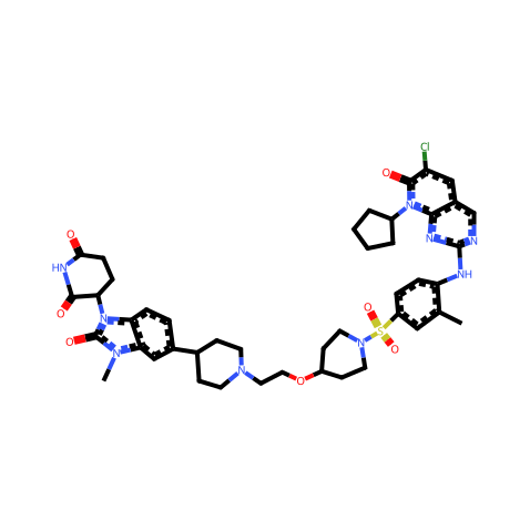 Cc1cc(S(=O)(=O)N2CCC(OCCN3CCC(c4ccc5c(c4)n(C)c(=O)n5C4CCC(=O)NC4=O)CC3)CC2)ccc1Nc1ncc2cc(Cl)c(=O)n(C3CCCC3)c2n1